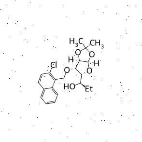 CC[C@@H](O)[C@H]1O[C@@H]2OC(C)(C)O[C@@H]2[C@H]1OCc1c(Cl)ccc2ccccc12